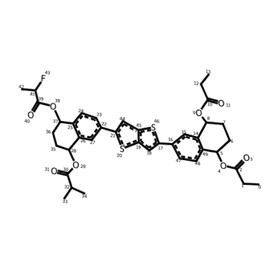 CCC(=O)OC1CCC(OC(=O)CC)c2cc(-c3cc4sc(-c5ccc6c(c5)C(OC(=O)C(C)C)CCC6OC(=O)C(C)F)cc4s3)ccc21